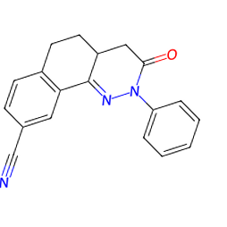 N#Cc1ccc2c(c1)C1=NN(c3ccccc3)C(=O)CC1CC2